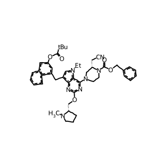 CCn1cc(Cc2cc(OC(=O)C(C)(C)C)cc3ccccc23)c2nc(OC[C@@H]3CCCN3C)nc(N3CCN(C(=O)OCc4ccccc4)[C@@H](CC#N)C3)c21